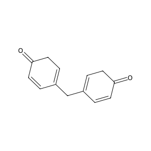 O=C1C=CC(CC2=CCC(=O)C=C2)=CC1